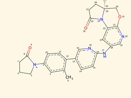 Cc1cc(N2CCCC2=O)ccc1-c1ccc(Nc2cnc3c(c2)N2C(=O)CC[C@H]2CO3)nc1